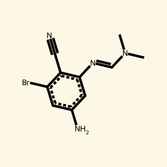 CN(C)/C=N/c1cc(N)cc(Br)c1C#N